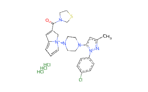 Cc1cc(N2CCN([N@@+]34C=CC=C3C=C(C(=O)N3CCSC3)C4)CC2)n(-c2ccc(Cl)cc2)n1.Cl.Cl.Cl